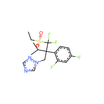 CCS(=O)(=O)C(F)(F)C(Cn1cncn1)(c1ccc(F)cc1F)C(C)C